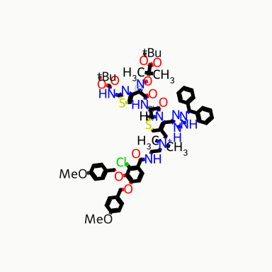 COc1ccc(COc2ccc(C(=O)NCC[N+](C)(C)CC3=C(C4=NN(C(c5ccccc5)c5ccccc5)NN4)N4C(=O)[C@@H](NC(=O)/C(=N\OC(C)(C)C(=O)OC(C)(C)C)c5csc(NC(=O)OC(C)(C)C)n5)[C@H]4SC3)c(Cl)c2OCc2ccc(OC)cc2)cc1